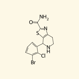 NC(=O)c1nc2c(s1)C(c1cccc(Br)c1Cl)NCC2